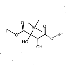 CC(C)OC(=O)C(O)C(O)(C(=O)OC(C)C)[Si](C)(C)C